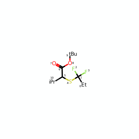 CCC(F)(F)SC(C(=O)OC(C)(C)C)C(C)C